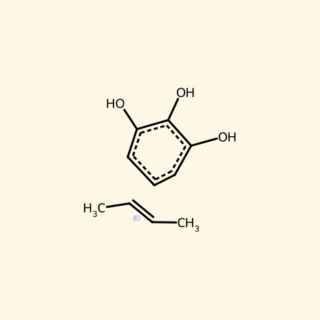 C/C=C/C.Oc1cccc(O)c1O